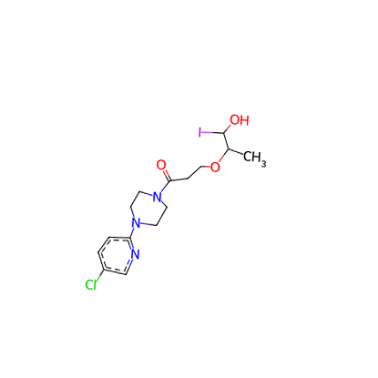 CC(OCCC(=O)N1CCN(c2ccc(Cl)cn2)CC1)C(O)I